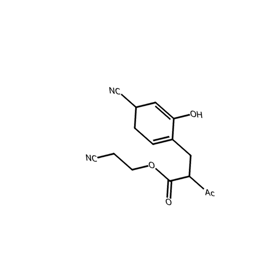 CC(=O)C(CC1=CCC(C#N)C=C1O)C(=O)OCCC#N